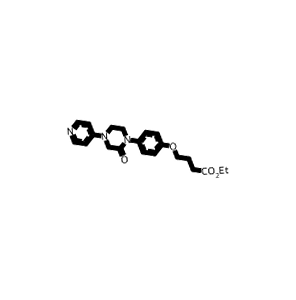 CCOC(=O)CCCOc1ccc(N2CCN(c3ccncc3)CC2=O)cc1